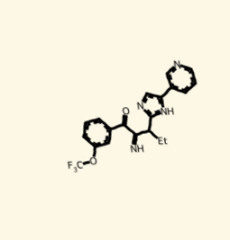 CCC(C(=N)C(=O)c1cccc(OC(F)(F)F)c1)c1ncc(-c2cccnc2)[nH]1